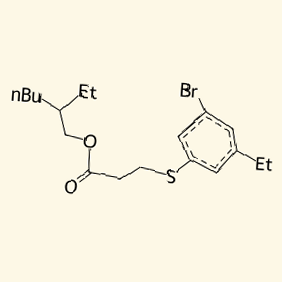 CCCCC(CC)COC(=O)CCSc1cc(Br)cc(CC)c1